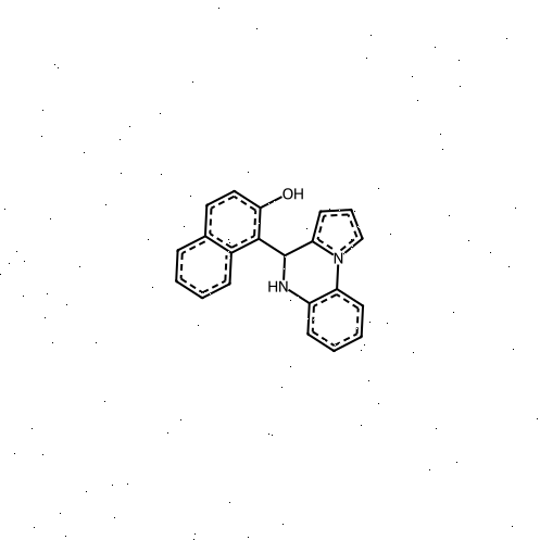 Oc1ccc2ccccc2c1C1Nc2ccccc2-n2cccc21